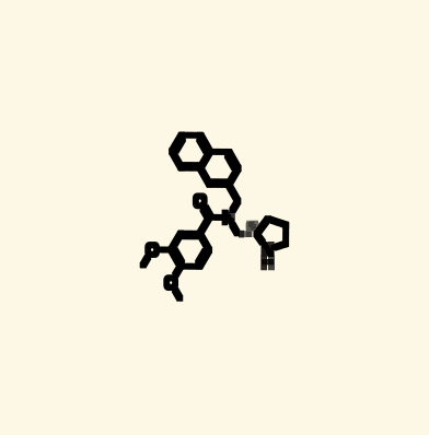 COc1ccc(C(=O)N(Cc2ccc3ccccc3c2)C[C@@H]2CCCN2)cc1OC